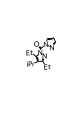 CCc1nn(C(=O)n2cccn2)c(CC)c1C(C)C